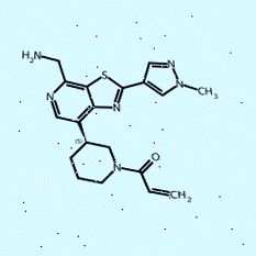 C=CC(=O)N1CCC[C@@H](c2cnc(CN)c3sc(-c4cnn(C)c4)nc23)C1